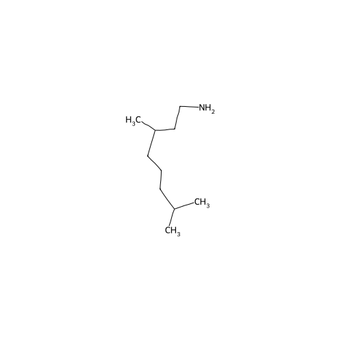 CC(C)CCCC(C)CCN